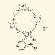 OB(O)c1ccccc1-c1cc2cc3nc(cc4ccc(cc5nc(cc1[nH]2)C=C5)[nH]4)C=C3.[Mn]